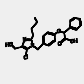 CCCCc1nc(CO)c(Cl)n1Cc1ccc(OC(C(=O)O)c2ccccc2)cc1